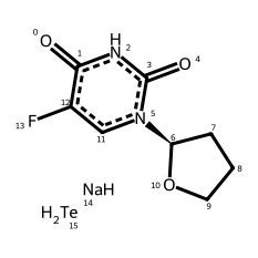 O=c1[nH]c(=O)n([C@H]2CCCO2)cc1F.[NaH].[TeH2]